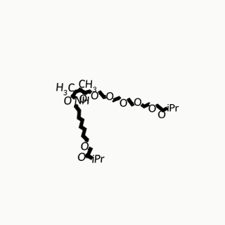 CC(C)C(=O)COCCCCCCCCNC(=O)C(C)C(C)C(=O)COCCOCCOCCOCCOCC(=O)C(C)C